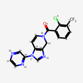 O=C(c1cccc(C(F)(F)F)c1Cl)N1C=Cc2c(ncn2-c2cnccn2)C1